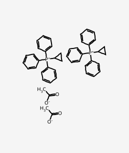 CC(=O)[O-].CC(=O)[O-].c1ccc([P+](c2ccccc2)(c2ccccc2)C2CC2)cc1.c1ccc([P+](c2ccccc2)(c2ccccc2)C2CC2)cc1